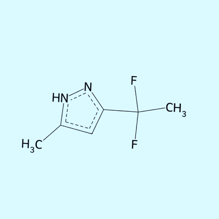 Cc1cc(C(C)(F)F)n[nH]1